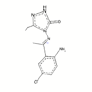 C/C(=N\n1c(C)n[nH]c1=O)c1cc(Cl)ccc1N